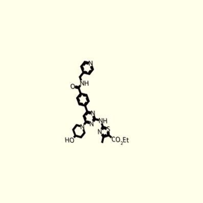 CCOC(=O)c1sc(Nc2nc(-c3ccc(C(=O)NCc4ccncc4)cc3)cc(N3CCC(O)CC3)n2)nc1C